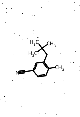 Cc1ccc(C#N)cc1CC(C)(C)C